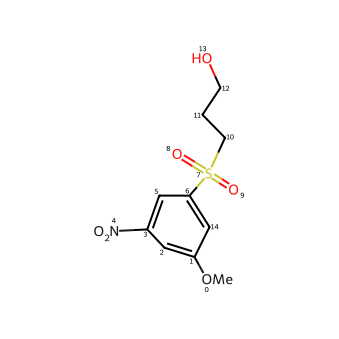 COc1cc([N+](=O)[O-])cc(S(=O)(=O)CCCO)c1